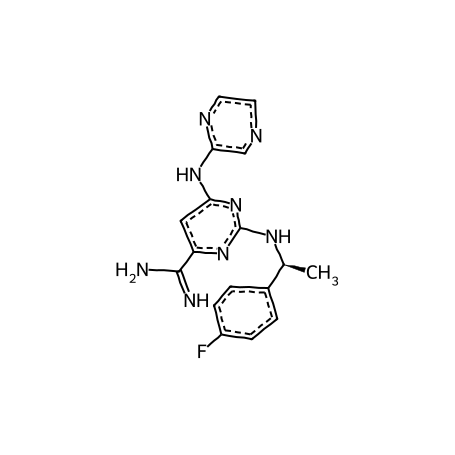 C[C@H](Nc1nc(Nc2cnccn2)cc(C(=N)N)n1)c1ccc(F)cc1